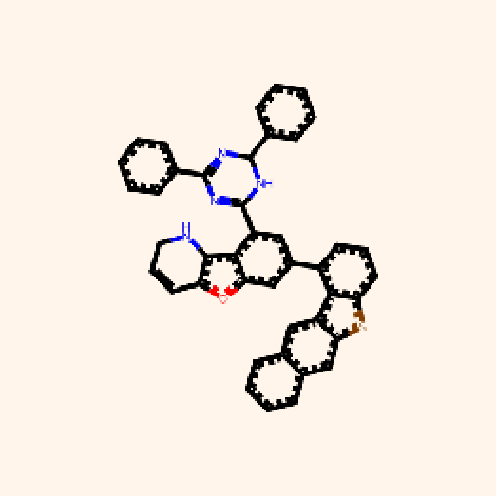 C1=Cc2oc3cc(-c4cccc5sc6cc7ccccc7cc6c45)cc(C4=NC(c5ccccc5)=NC(c5ccccc5)N4)c3c2NC1